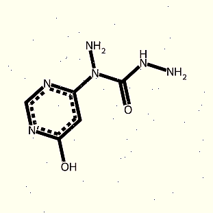 NNC(=O)N(N)c1cc(O)ncn1